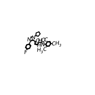 Cc1cc(C)c(NC(=O)c2ccc(-c3c(-c4ccc(F)cc4)ncn3C3CCCC3)o2)c(C)c1